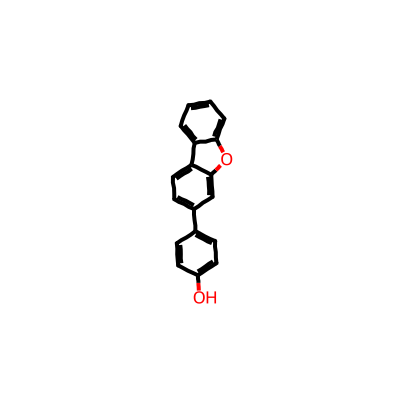 Oc1ccc(-c2ccc3c(c2)oc2ccccc23)cc1